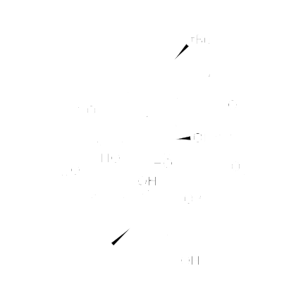 C[C@@H]1C(O)OC([C@H](O)C23C(C[C@@H](C(C)(C)C)C24COC(=O)[C@@H]4O)OC(=O)C3O)[C@]1(C)O